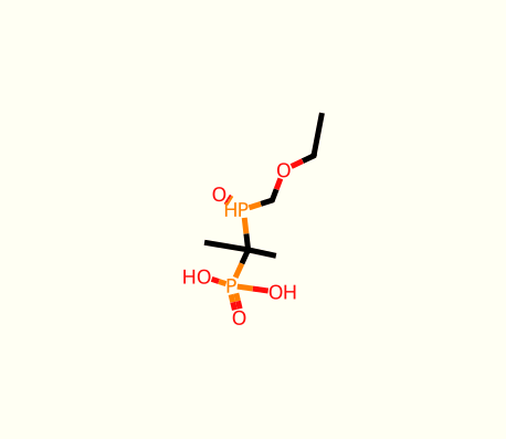 CCOC[PH](=O)C(C)(C)P(=O)(O)O